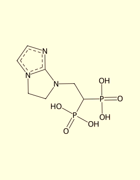 O=P(O)(O)C(CN1CCn2ccnc21)P(=O)(O)O